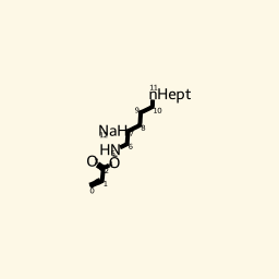 C=CC(=O)ONCCCCCCCCCCCC.[NaH]